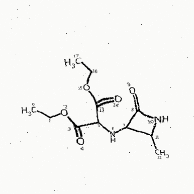 CCOC(=O)C(NC1C(=O)NC1C)C(=O)OCC